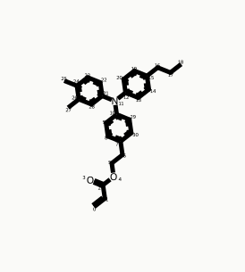 C=CC(=O)OCCc1ccc(N(c2ccc(CCC)cc2)c2ccc(C)c(C)c2)cc1